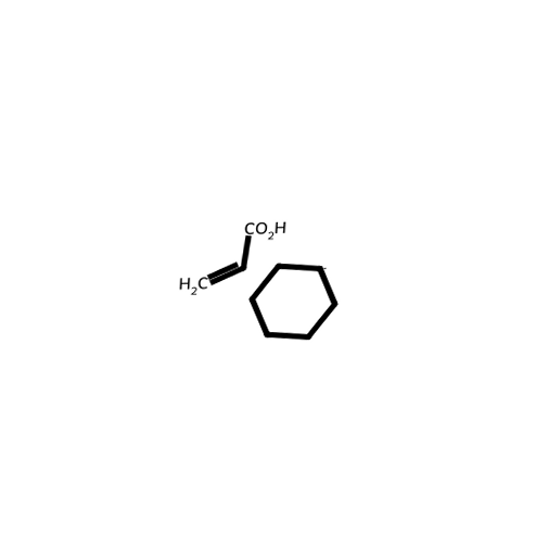 C=CC(=O)O.[CH]1CCCCC1